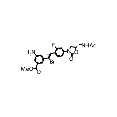 COC(=O)c1cc(N)cc(/C(Br)=C/c2ccc(N3C[C@H](CNC(C)=O)OC3=O)cc2F)c1